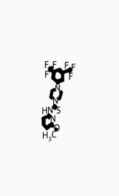 COc1cccc(NC(=S)N2CCN(c3cc(C(F)(F)F)cc(C(F)(F)F)c3)CC2)n1